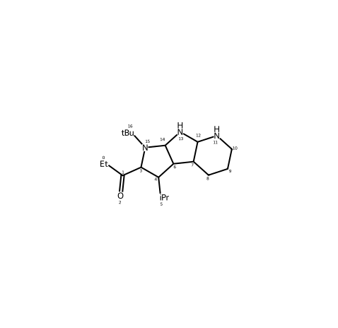 CCC(=O)C1C(C(C)C)C2C3CCCNC3NC2N1C(C)(C)C